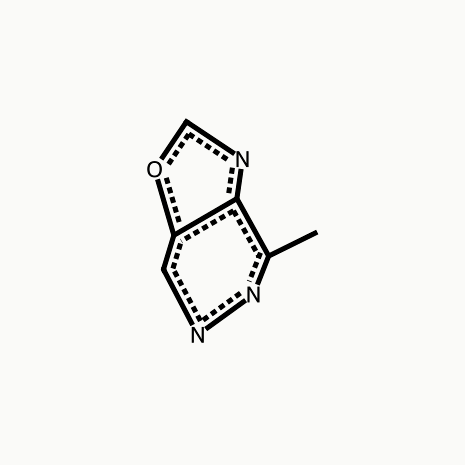 Cc1nncc2ocnc12